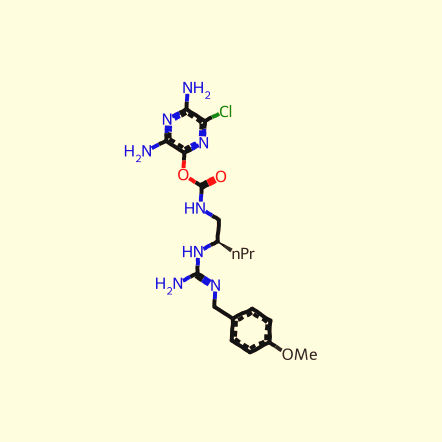 CCC[C@H](CNC(=O)Oc1nc(Cl)c(N)nc1N)NC(N)=NCc1ccc(OC)cc1